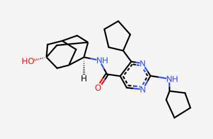 O=C(N[C@H]1C2CC3CC1C[C@](O)(C3)C2)c1cnc(NC2CCCC2)nc1C1CCCC1